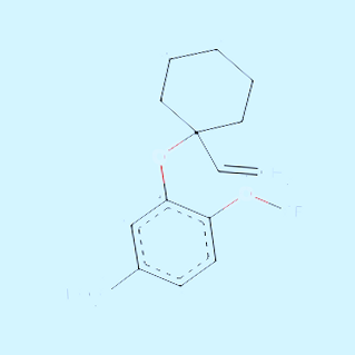 C=CC1(Oc2cc(C(=O)O)ccc2OC(F)(F)F)CCCCC1